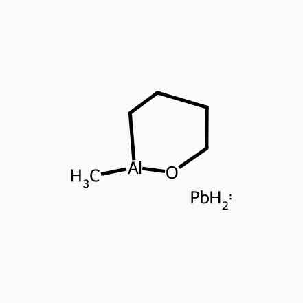 [CH3][Al]1[CH2]CCC[O]1.[PbH2]